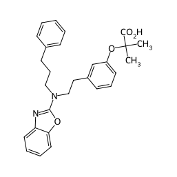 CC(C)(Oc1cccc(CCN(CCCc2ccccc2)c2nc3ccccc3o2)c1)C(=O)O